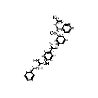 N=C(NCc1ccccc1)Nc1ccc(C(=O)Nc2cccc([S+]([O-])C(CC(=O)O)c3cccnc3)c2)cc1